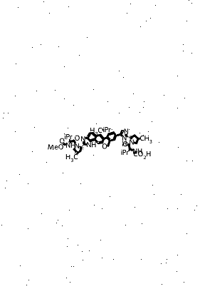 COC(=O)N[C@H](C(=O)N1C[C@@H](C)C[C@H]1c1nc2ccc3cc4c(cc3c2[nH]1)OCc1cc(-c2cnc([C@@H]3CC(C)CN3C(=O)[C@@H](NC(=O)O)C(C)C)[nH]2)ccc1-4)C(C)C.C[C](C)C